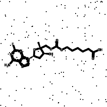 C[C@]1(COC(=O)OCCCCCC(=O)O)O[C@@H](n2cnc3c(N)nc(F)nc32)C[C@@H]1O